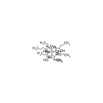 CCCC(O)C(CC)[CH](O)[Ti]([CH](O)C(CC)C(O)CCC)([CH](O)C(CC)C(O)CCC)[CH](O)C(CC)C(O)CCC